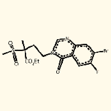 CCOC(=O)[C@@](C)(CCn1cnc2cc(Br)c(F)cc2c1=O)S(C)(=O)=O